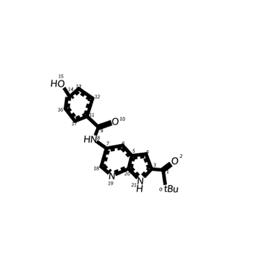 CC(C)(C)C(=O)c1cc2cc(NC(=O)c3ccc(O)cc3)cnc2[nH]1